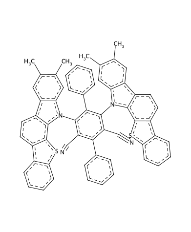 Cc1cc2c3ccc4c5ccccc5sc4c3n(-c3c(C#N)c(-c4ccccc4)c(C#N)c(-n4c5cc(C)c(C)cc5c5ccc6c7ccccc7sc6c54)c3-c3ccccc3)c2cc1C